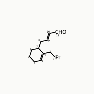 CC(C)CC1=CCCCC1C/C=C/C=O